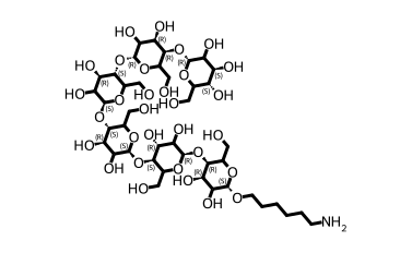 NCCCCCCO[C@H]1OC(CO)[C@H](O[C@H]2OC(CO)[C@@H](O[C@@H]3OC(CO)[C@@H](O[C@@H]4OC(CO)[C@@H](O[C@H]5OC(CO)[C@H](O[C@H]6OC(CO)[C@@H](O)[C@H](O)C6O)[C@H](O)C5O)[C@H](O)C4O)[C@H](O)C3O)[C@H](O)C2O)[C@H](O)C1O